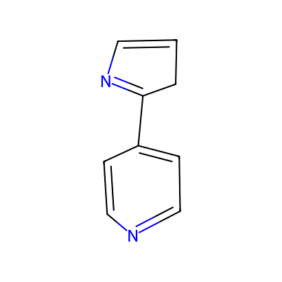 C1=CN=C(c2ccncc2)C1